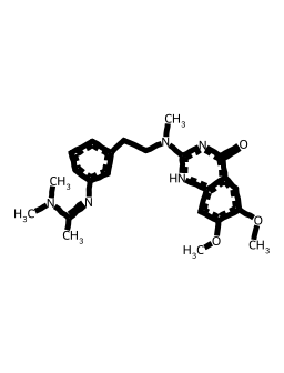 COc1cc2[nH]c(N(C)CCc3cccc(N=C(C)N(C)C)c3)nc(=O)c2cc1OC